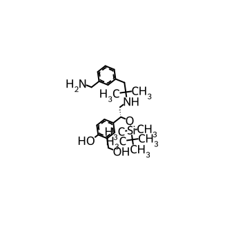 CC(C)(Cc1cccc(CN)c1)NC[C@H](O[Si](C)(C)C(C)(C)C)c1ccc(O)c(CO)c1